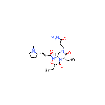 CC(C)C[C@H]1ON(C(=O)/C=C/[C@@H]2CCCN2C)[C@H]2CN(CCC(N)=O)C(=O)[C@H](CC(C)C)N2C1=O